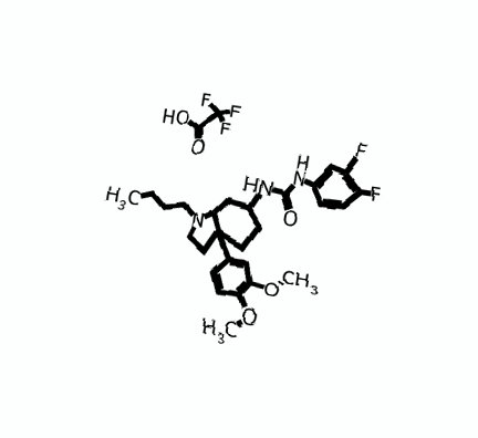 CCCCN1CCC2(c3ccc(OC)c(OC)c3)CCC(NC(=O)Nc3ccc(F)c(F)c3)CC12.O=C(O)C(F)(F)F